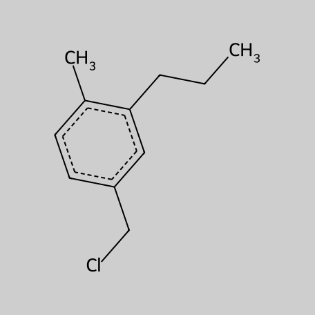 CCCc1cc(CCl)ccc1C